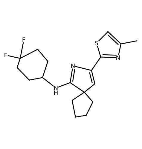 Cc1csc(C2=CC3(CCCC3)C(NC3CCC(F)(F)CC3)=N2)n1